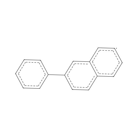 [c]1ccc2ccc(-c3ccccc3)cc2c1